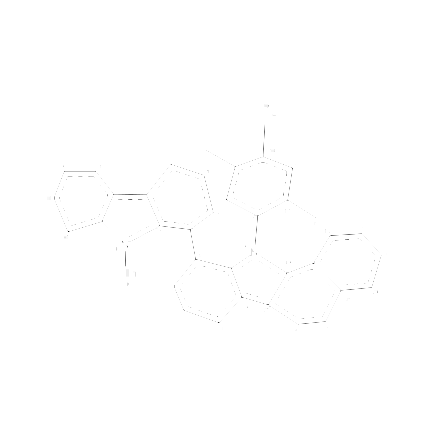 Cc1cc(-n2c3c(-c4cccc5c6ccccc6n(C(C)C)c45)cccc3c3ccc4ccccc4c32)c(C)cc1C(C)C